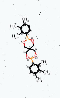 Cc1ccc(P2OCC3(CO2)COP(c2ccc(C)c(C)c2C)OC3)c(C)c1C